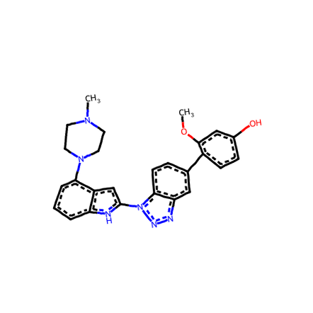 COc1cc(O)ccc1-c1ccc2c(c1)nnn2-c1cc2c(N3CCN(C)CC3)cccc2[nH]1